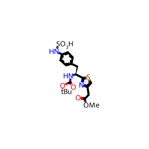 COC(=O)Cc1csc([C@H](Cc2ccc(NS(=O)(=O)O)cc2)NC(=O)OC(C)(C)C)n1